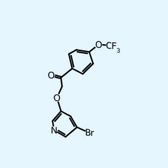 O=C(COc1cncc(Br)c1)c1ccc(OC(F)(F)F)cc1